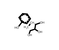 CC.OCC(O)CO.Oc1ccccc1